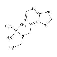 CCN(Cc1ncnc2[nH]cnc12)C(C)(C)C